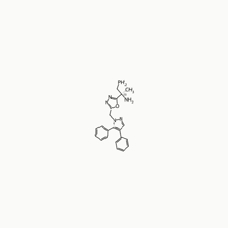 C[C@@](N)(CP)c1nnc(Cn2ncc(-c3ccccc3)c2-c2ccccc2)o1